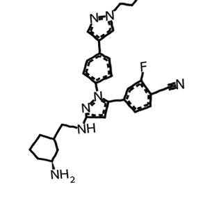 N#Cc1ccc(-c2cc(NCC3CCC[C@H](N)C3)nn2-c2ccc(-c3cnn(CCCO)c3)cc2)cc1F